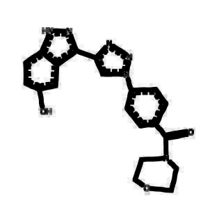 O=C(c1ccc(-n2cc(-c3n[nH]c4ccc(O)cc34)nn2)cc1)N1CCOCC1